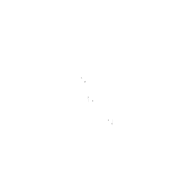 NC1=N[N+]([O-])([O-])SC=C1